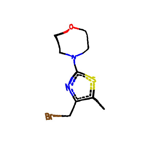 Cc1sc(N2CCOCC2)nc1CBr